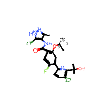 Cc1n[nH]c(Cl)c1NC(=O)c1cc(F)c(-c2ccc(Cl)c(C(C)(C)O)n2)cc1O[C@@H](C)C(F)(F)F